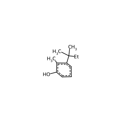 CCC(C)(C)c1cccc(O)c1C